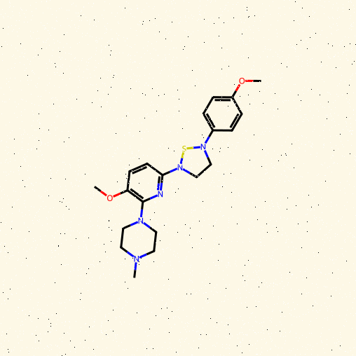 COc1ccc(N2CCN(c3ccc(OC)c(N4CCN(C)CC4)n3)S2)cc1